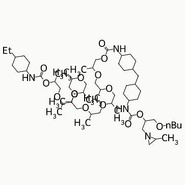 CCCCOCC(CN1CC1C)OC(=O)NC1CCC(CC2CCC(NC(=O)OCC(C)OCC(C)OCC(C)OCC(C)OCC(C)OCC(C)OCC(C)OCC(C)OCC(C)OC(=O)NC3CCC(CC)CC3)CC2)CC1